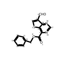 O=Cc1csc2c(C(=O)OCc3ccccc3)ncnc12